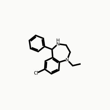 CCN1CCNC(c2ccccc2)c2cc(Cl)ccc21